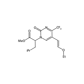 CCOC=Cc1cn(C(CC(C)C)C(=O)OC)c(=O)nc1C(F)(F)F